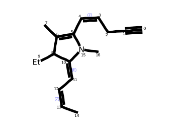 C#CC/C=C\C1=C(C)C(CC)/C(=C\C=C/C)N1C